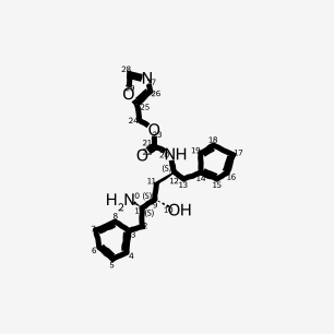 N[C@@H](Cc1ccccc1)[C@@H](O)C[C@H](Cc1ccccc1)NC(=O)OCc1cnco1